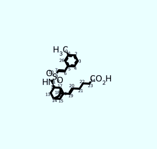 Cc1cccc(C=CS(=O)(=O)NC2CC3CCC2C(C=CCCCC(=O)O)C3)c1